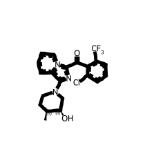 C[C@H]1CCN(c2nc(C(=O)c3c(Cl)cccc3C(F)(F)F)n3ccccc23)C[C@@H]1O